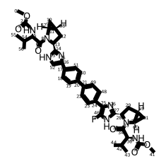 COC(=O)N[C@H](C(=O)N1[C@@H]2C[C@@H]2C[C@H]1c1nc(-c2ccc(-c3ccc(-c4nc([C@@H]5C[C@H]6C[C@H]6N5C(=O)[C@@H](NC(=O)OC)C(C)C)[nH]c4F)cc3)cc2)c[nH]1)C(C)C